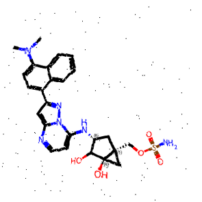 CN(C)c1ccc(-c2cc3nccc(N[C@@H]4C[C@@]5(COS(N)(=O)=O)C[C@]5(O)C4O)n3n2)c2ccccc12